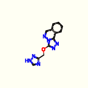 c1ccc2c(c1)cnn1c(OCc3nc[nH]n3)nnc21